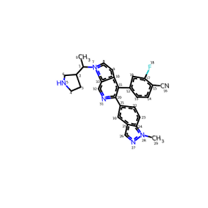 CC(C1CCNC1)n1ccc2c(-c3ccc(C#N)c(F)c3)c(-c3ccc4c(cnn4C)c3)ncc21